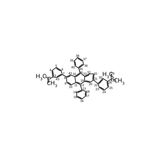 CP(C)c1cccc(-c2ccc3c(-c4ccccc4)c4cc(-c5cccc(P(C)C)c5)ccc4c(-c4ccccc4)c3c2)c1